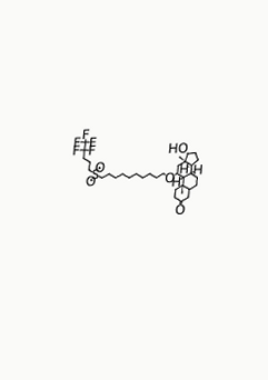 C[C@]12CCC(=O)CC1CC[C@@H]1[C@H]2C(OCCCCCCCCCCS(=O)(=O)CCCC(F)(F)C(F)(F)F)C[C@]2(C)C(O)CC[C@@H]12